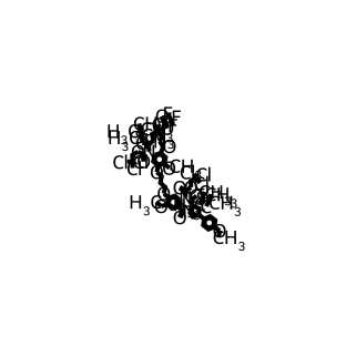 COc1ccc(C2=CN3C(=O)c4cc(OC)c(OCCCOc5cc6c(cc5OC)C(=O)N5C=C(OS(=O)(=O)C(F)(F)F)CC5C(O[Si](C)(C)C(C)(C)C)N6C(=O)OCC(Cl)(Cl)Cl)cc4N(C(=O)OCC(Cl)(Cl)Cl)C(O[Si](C)(C)C(C)(C)C)C3C2)cc1